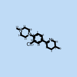 CC1CCC(c2ccc(N3CCN(C)CC3)c(Cl)c2)=NC1